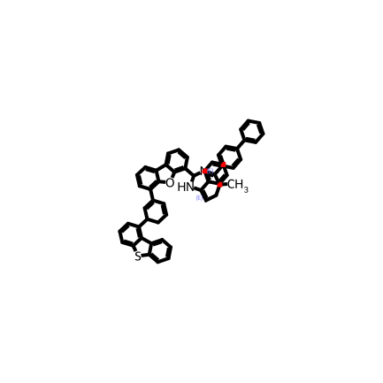 CC1C/C=C(\c2ccccc2)NC(c2cccc3c2oc2c(C4=CC(c5cccc6sc7ccccc7c56)CC=C4)cccc23)/N=C\1c1ccc(-c2ccccc2)cc1